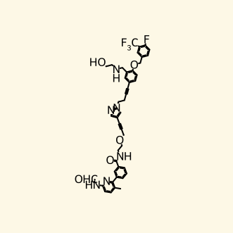 Cc1ccc(NC=O)nc1-c1cccc(C(=O)NCCOCC#Cc2cnn(CCC#Cc3ccc(OCc4ccc(F)c(C(F)(F)F)c4)c(CNCCO)c3)c2)c1